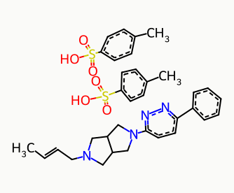 CC=CCN1CC2CN(c3ccc(-c4ccccc4)nn3)CC2C1.Cc1ccc(S(=O)(=O)O)cc1.Cc1ccc(S(=O)(=O)O)cc1